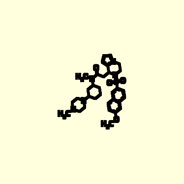 COc1ccc2cc(S(=O)(=O)N3CCn4cccc4C3CC(=O)N(C)C3CCCC(N4CCN(C)CC4)C3)ccc2c1